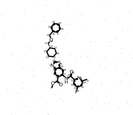 COC(=O)c1cc2nc([C@H]3CC[C@H](COCc4ccccc4)CC3)sc2cc1NC(=O)c1cc(F)cc(C)n1